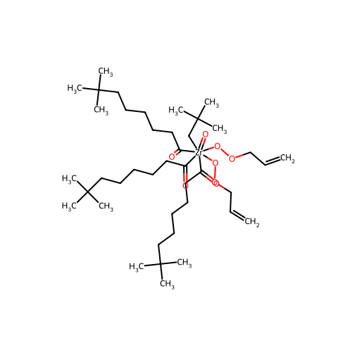 C=CCO[O][Zr](=[O])([CH2]C(C)(C)C)([O]OCC=C)([C](=O)CCCCCC(C)(C)C)([C](=O)CCCCCC(C)(C)C)[C](=O)CCCCCC(C)(C)C